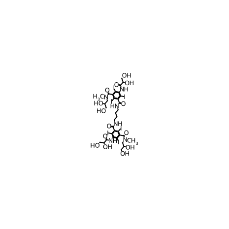 CN(CC(O)CO)C(=O)c1c(I)c(NC(=O)C(O)CO)c(I)c(C(=O)NCCCCNC(=O)c2c(I)c(NC(=O)C(O)CO)c(I)c(C(=O)N(C)CC(O)CO)c2I)c1I